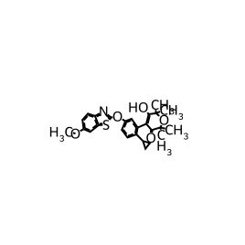 COc1ccc2nc(Oc3ccc(C4CC4)c(C4=C(O)C(C)(C)OC(C)(C)C4=O)c3)sc2c1